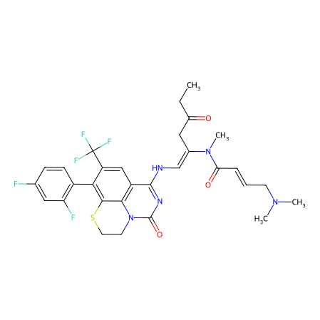 CCC(=O)C/C(=C\Nc1nc(=O)n2c3c(c(-c4ccc(F)cc4F)c(C(F)(F)F)cc13)SCC2)N(C)C(=O)/C=C/CN(C)C